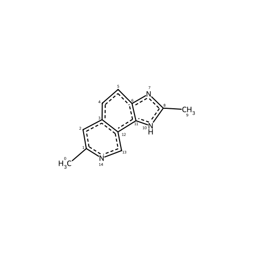 Cc1cc2ccc3nc(C)[nH]c3c2cn1